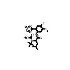 COc1cc(NC(=O)C(CC(C)C)N(C(=O)O)C(C)(C)C)c(-c2nn[nH]n2)cc1Br